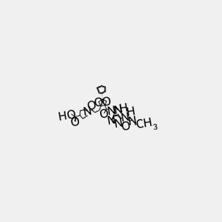 CCNC(=O)Nc1ncnc2c1ncn2C1OC(CC(=O)N2CCC(C(=O)O)CC2)C2O[C@H](c3ccccc3)OC21